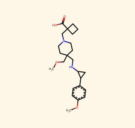 COCC1(CNC2CC2c2ccc(OC)cc2)CCN(CC2(C(=O)O)CCC2)CC1